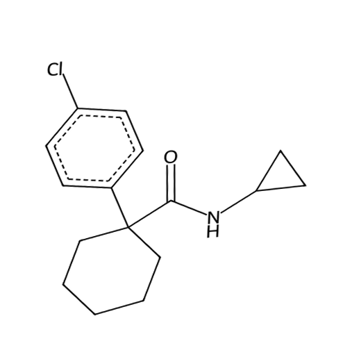 O=C(NC1CC1)C1(c2ccc(Cl)cc2)CCCCC1